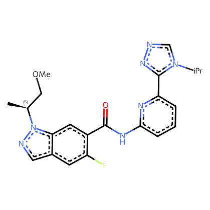 COC[C@H](C)n1ncc2cc(F)c(C(=O)Nc3cccc(-c4nncn4C(C)C)n3)cc21